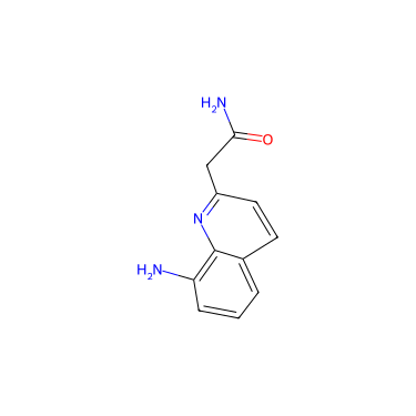 NC(=O)Cc1ccc2cccc(N)c2n1